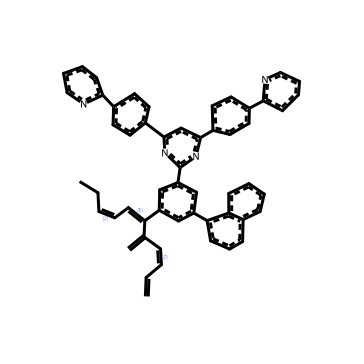 C=C/C=C\C(=C)/C(=C\C=C/CC)c1cc(-c2nc(-c3ccc(-c4ccccn4)cc3)cc(-c3ccc(-c4ccccn4)cc3)n2)cc(-c2cccc3ccccc23)c1